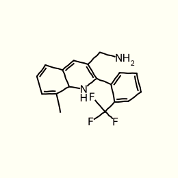 CC1=CC=CC2=CC(CN)=C(c3ccccc3C(F)(F)F)NC12